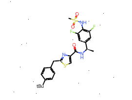 C[C@@H](NC(=O)c1csc(Cc2ccc(C(C)(C)C)cc2)n1)c1cc(F)c(NS(C)(=O)=O)c(F)c1